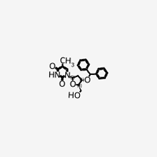 Cc1cn([C@H]2C[C@H](OC(c3ccccc3)c3ccccc3)[C@@H](CO)O2)c(=O)[nH]c1=O